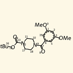 COc1cc(OC)cc(C(=O)N2CCN(C(=O)OC(C)(C)C)CC2)c1